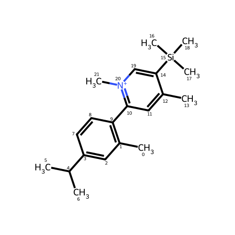 Cc1cc(C(C)C)ccc1-c1cc(C)c([Si](C)(C)C)c[n+]1C